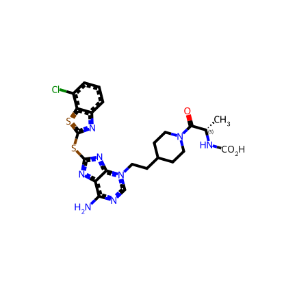 C[C@H](NC(=O)O)C(=O)N1CCC(CCn2cnc(N)c3nc(Sc4nc5cccc(Cl)c5s4)nc2-3)CC1